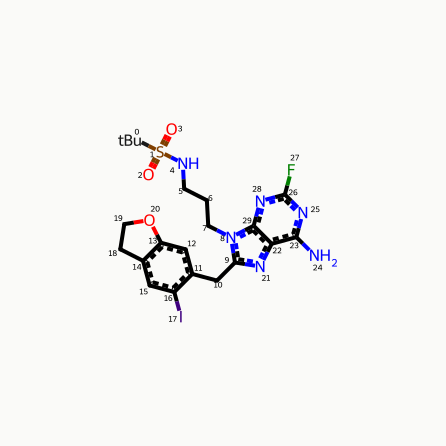 CC(C)(C)S(=O)(=O)NCCCn1c(Cc2cc3c(cc2I)CCO3)nc2c(N)nc(F)nc21